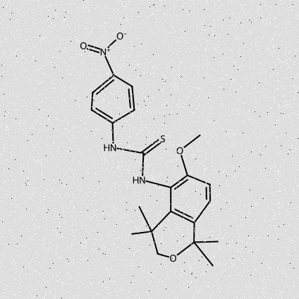 COc1ccc2c(c1NC(=S)Nc1ccc([N+](=O)[O-])cc1)C(C)(C)COC2(C)C